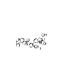 Cc1ccc(NC(=O)c2ccnc(C(F)(F)F)c2)cc1-c1ccc2c(c1)N1CCOC[C@H]1[C@@H](CO)C2